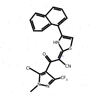 Cn1nc(C(F)(F)F)c(C(=O)/C(C#N)=C2\NC(c3cccc4ccccc34)=CS2)c1Cl